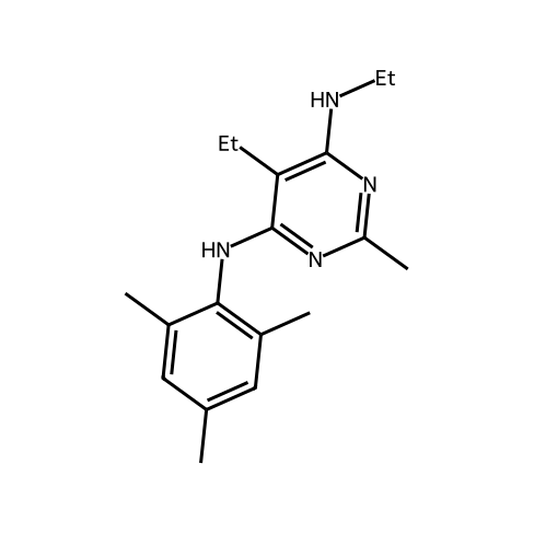 CCNc1nc(C)nc(Nc2c(C)cc(C)cc2C)c1CC